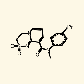 CC(C)c1ccc(N(C)C(=O)C2=CC=CN3CCS(=O)(=O)N=C23)cc1